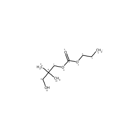 [CH2]CCOC(=O)OCC(C)(C)CO